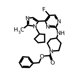 Cc1ncc(-c2nc(NC3CCN(C(=O)OCc4ccccc4)CC3)ncc2F)n1C1CCCC1